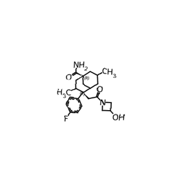 CC1CC2C[C@@](C(N)=O)(C1)CC(C)[C@@]2(CC(=O)N1CC(O)C1)c1ccc(F)cc1